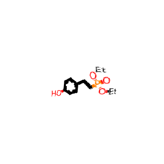 CCOP(=O)(/C=C/c1ccc(O)cc1)OCC